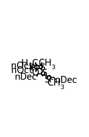 C=C1c2c(C)sc(-c3sc(-c4cc(CCCCCCCCCCCC)c(C)s4)cc3CCCCCCCCCCCC)c2C(=O)N1C(CCCCCCCC)CCCCCCCC